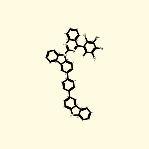 [2H]c1c([2H])c([2H])c(-c2nc(-n3c4ccccc4c4cc(-c5ccc(-c6ccc7sc8ccccc8c7c6)cc5)ccc43)nc3ccccc23)c([2H])c1[2H]